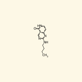 CCCCNc1ncc2c(=O)[nH]ccc2n1